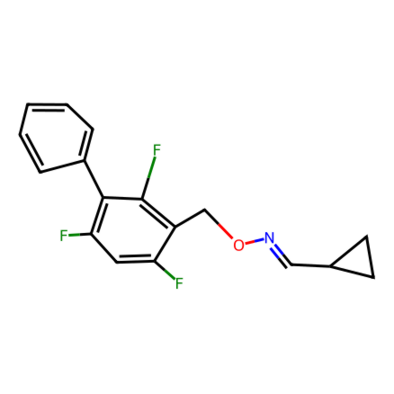 Fc1cc(F)c(-c2ccccc2)c(F)c1CO/N=C/C1CC1